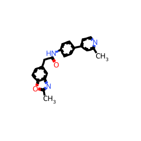 Cc1cc(-c2ccc(NC(=O)Cc3ccc4oc(C)nc4c3)cc2)ccn1